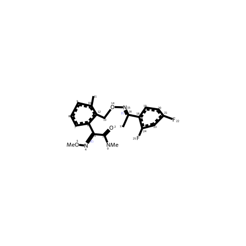 CNC(=O)/C(=N/OC)c1cccc(C)c1CO/N=C(\C)c1ccc(F)cc1F